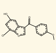 COc1ccc(C(=O)c2coc3c(Cl)cc(O)cc23)cc1